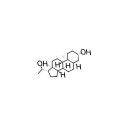 CC(O)[C@H]1CC[C@H]2[C@@H]3CC[C@@H]4C[C@@H](O)CC[C@]4(C)[C@H]3CC[C@]12C